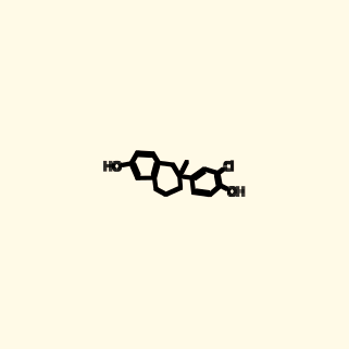 CC1(c2ccc(O)c(Cl)c2)CCCc2cc(O)ccc2C1